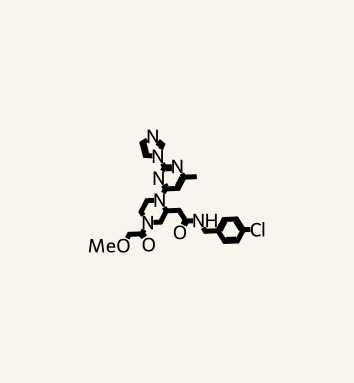 COCC(=O)N1CCN(c2cc(C)nc(-n3ccnc3)n2)C(CC(=O)NCc2ccc(Cl)cc2)C1